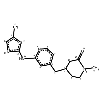 CN1CCN(Cc2ccnc(Nc3ncc(C#N)s3)c2)CC1=O